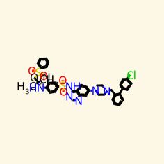 CC(C)(CS(=O)(=O)c1ccccc1)Nc1ccc(S(=O)(=O)Nc2ncnc3cc(N4CCN(Cc5ccccc5-c5ccc(Cl)cc5)CC4)ccc23)cc1[N+](=O)[O-]